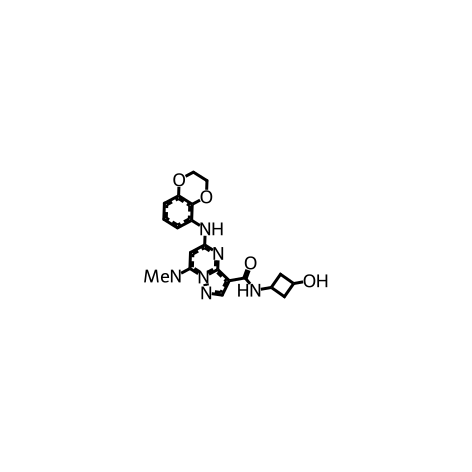 CNc1cc(Nc2cccc3c2OCCO3)nc2c(C(=O)NC3CC(O)C3)cnn12